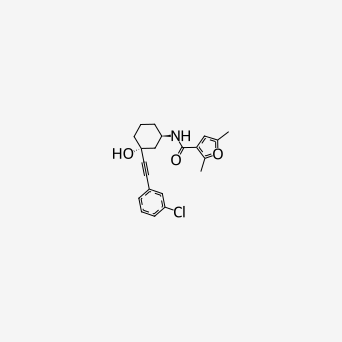 Cc1cc(C(=O)N[C@@H]2CCC[C@](O)(C#Cc3cccc(Cl)c3)C2)c(C)o1